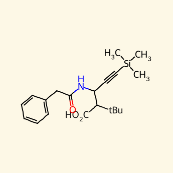 CC(C)(C)C(C(=O)O)C(C#C[Si](C)(C)C)NC(=O)Cc1ccccc1